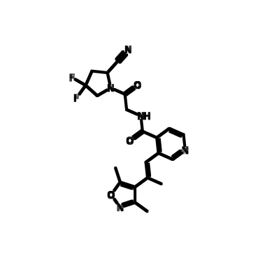 CC(=Cc1cnccc1C(=O)NCC(=O)N1CC(F)(F)CC1C#N)c1c(C)noc1C